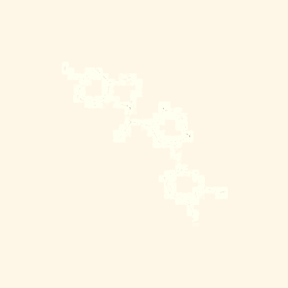 O=C(c1cc(-c2ccc(Cl)c(Cl)c2)ncn1)N1CCc2cc(F)ccc21